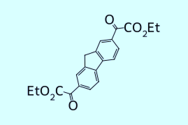 CCOC(=O)C(=O)c1ccc2c(c1)Cc1cc(C(=O)C(=O)OCC)ccc1-2